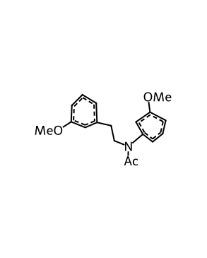 COc1cccc(CCN(C(C)=O)c2cccc(OC)c2)c1